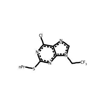 CCCSc1nc(Cl)c2ncn(CC(F)(F)F)c2n1